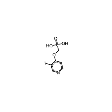 O=P(O)(O)COc1ccncc1I